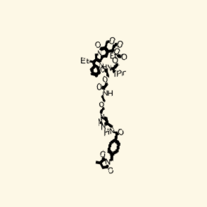 CCc1c2c(nc3ccccc13)-c1cc3c(c(=O)n1C2)COC(=O)C3(CC)OC(=O)OCC(NC(=O)COCC(=O)NCCOCCn1cc(CNC(=O)C2CCC(CN3C(=O)CC(C)C3=O)CC2)nn1)C(C)C